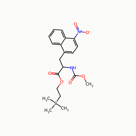 COC(=O)NC(Cc1ccc([N+](=O)[O-])c2ccccc12)C(=O)OCC[Si](C)(C)C